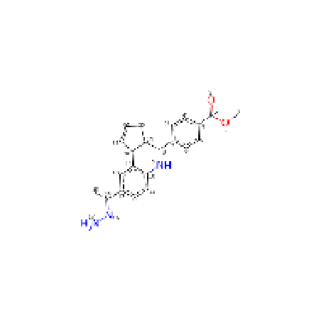 COC(=O)c1ccc(C2Nc3ccc(C(C)=NN)cc3C3C=CCC32)cc1